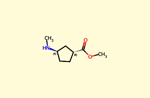 CN[C@@H]1CC[C@@H](C(=O)OC)C1